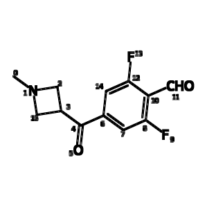 CN1CC(C(=O)c2cc(F)c(C=O)c(F)c2)C1